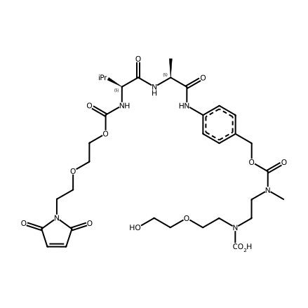 CC(C)[C@H](NC(=O)OCCOCCN1C(=O)C=CC1=O)C(=O)N[C@@H](C)C(=O)Nc1ccc(COC(=O)N(C)CCN(CCOCCO)C(=O)O)cc1